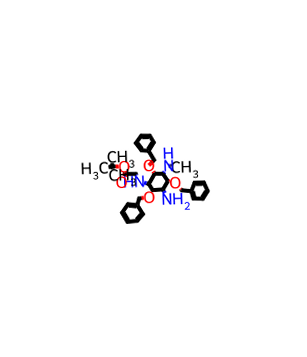 CNC1C(OCc2ccccc2)C(N)[C@@H](OCc2ccccc2)C(NCC(=O)OC(C)(C)C)C1OCc1ccccc1